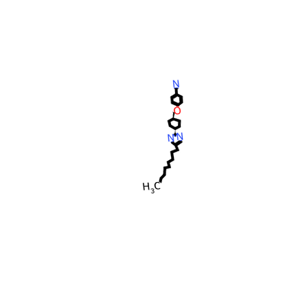 CCCCCCCCCCc1cnc([C@H]2CC[C@H](COc3ccc(C#N)cc3)CC2)nc1